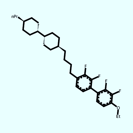 CCC[C@H]1CC[C@H]([C@H]2CC[C@H](CCCCc3ccc(-c4ccc(OCC)c(F)c4F)c(F)c3F)CC2)CC1